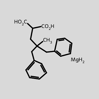 CC(Cc1ccccc1)(Cc1ccccc1)CC(C(=O)O)C(=O)O.[MgH2]